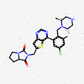 Cc1cc(Cl)cc(-c2ncnc3cc(CN4C(=O)C5CCCN5C4=O)sc23)c1CN1[C@@H](C)CNC[C@@H]1C